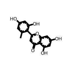 Cc1cc(O)cc(O)c1-c1cc(=O)c2c(O)cc(O)cc2o1